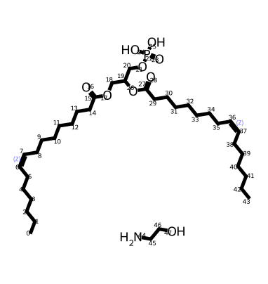 CCCCCC/C=C\CCCCCCCC(=O)OCC(COP(=O)(O)O)OC(=O)CCCCCCC/C=C\CCCCCC.NCCO